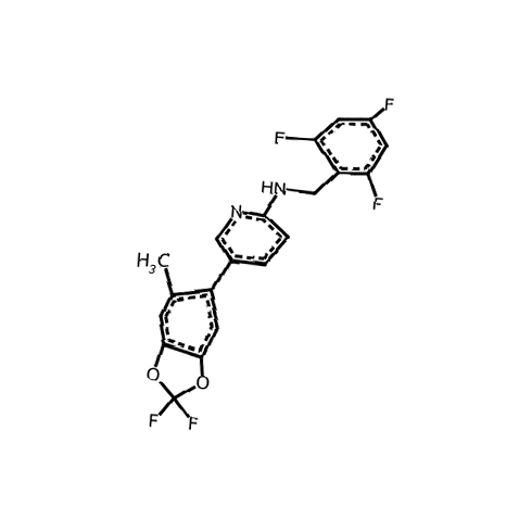 Cc1cc2c(cc1-c1ccc(NCc3c(F)cc(F)cc3F)nc1)OC(F)(F)O2